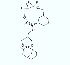 CC1CC2(C(=O)OCC3COC4(OC3)C(C)CC3CCCC4C3)CCCC(C2)OCC(F)(F)C(F)(F)CO1